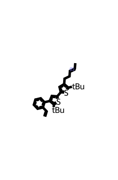 C=Cc1ccccc1-c1cc(-c2cc(CC/C=C/C)c(C(C)(C)C)s2)sc1C(C)(C)C